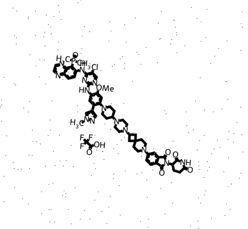 COc1cc(N2CCC(N3CCN(C4CC5(CCN(c6ccc7c(c6)C(=O)N(C6CCC(=O)NC6=O)C7=O)CC5)C4)CC3)CC2)c(-c2cnn(C)c2)cc1Nc1ncc(Cl)c(Nc2ccc3nccnc3c2P(C)(C)=O)n1.O=C(O)C(F)(F)F